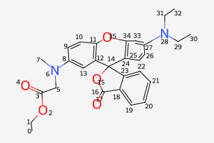 CCOC(=O)CN(C)c1ccc2c(c1)C1(OC(=O)c3ccccc31)c1ccc(N(CC)CC)cc1O2